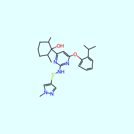 CC(C)c1ccccc1Oc1cc(C2(O)C(C)CCCC2C)nc(NSc2cnn(C)c2)n1